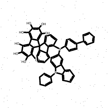 Oc1c(O)c(O)c2c(c1O)-c1c(O)c(O)c(O)c(O)c1C21c2ccccc2-c2c(N(c3ccc(-c4ccccc4)cc3)c3ccc4c(c3)c3ccccc3n4C3=CCCC=C3)cccc21